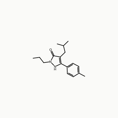 CCCn1[nH]c(-c2ccc(C)cc2)c(CC(C)C)c1=O